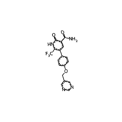 NC(=O)c1cc(-c2ccc(OCc3cncnc3)cc2)c(C(F)(F)F)[nH]c1=O